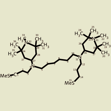 CSCCCN(CCCCCCN(CCCSC)C1CC(C)(C)N(C)C(C)(C)C1)C1CC(C)(C)N(C)C(C)(C)C1